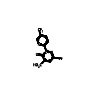 CC(C)c1cc(C(=O)O)c(=O)n(-c2ccc(C(F)(F)F)cn2)n1